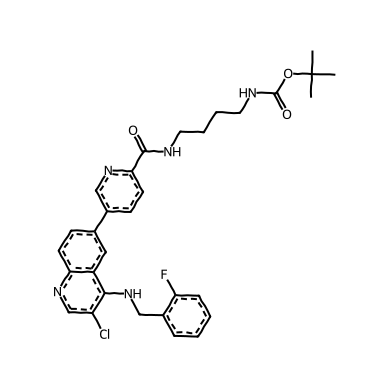 CC(C)(C)OC(=O)NCCCCNC(=O)c1ccc(-c2ccc3ncc(Cl)c(NCc4ccccc4F)c3c2)cn1